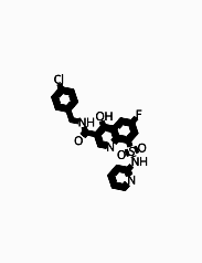 O=C(NCc1ccc(Cl)cc1)c1cnc2c(S(=O)(=O)Nc3ccccn3)cc(F)cc2c1O